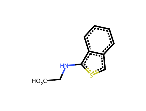 O=C(O)CNc1scc2ccccc12